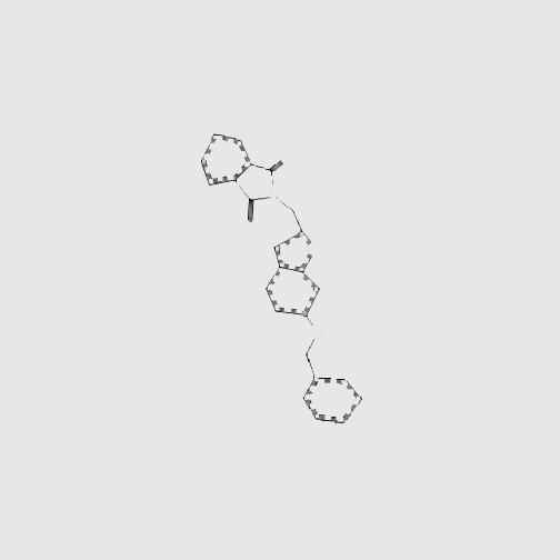 O=C1c2ccccc2C(=O)N1Cc1cc2ccc(OCc3ccccc3)cc2s1